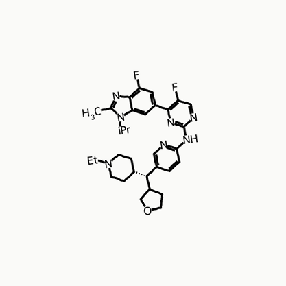 CCN1CCC([C@H](c2ccc(Nc3ncc(F)c(-c4cc(F)c5nc(C)n(C(C)C)c5c4)n3)nc2)C2CCOC2)CC1